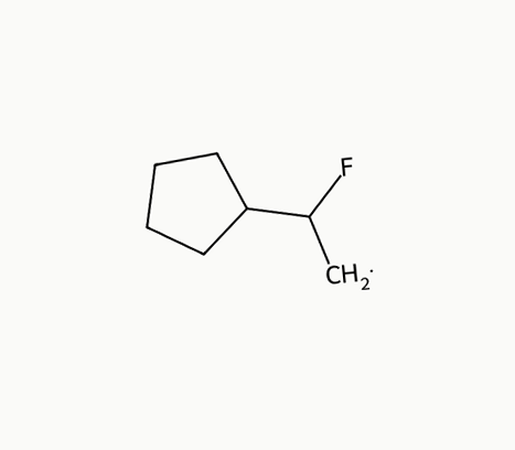 [CH2]C(F)C1CCCC1